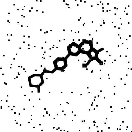 CC(C)n1c(=O)n(C)c2nnc3ccc(-c4ccc(COC5CCCN(C)C5)nc4)cc3c21